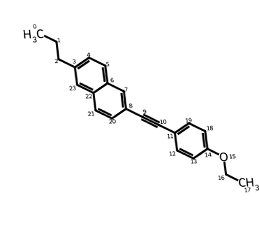 CCCc1ccc2cc(C#Cc3ccc(OCC)cc3)ccc2c1